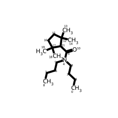 CCCCN(CCCC)C(=O)C1C(C)(C)CCC1(C)C